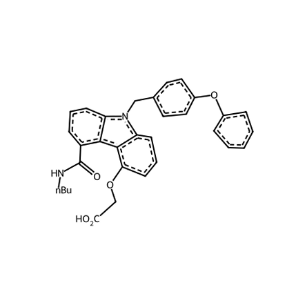 CCCCNC(=O)c1cccc2c1c1c(OCC(=O)O)cccc1n2Cc1ccc(Oc2ccccc2)cc1